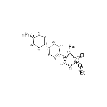 CCC[C@H]1CC[C@H](C2CC=C(c3ccc(OCC)c(Cl)c3F)CC2)CC1